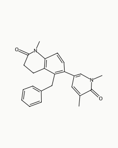 Cc1cc(-c2ccc3c(c2Cc2ccccc2)CCC(=O)N3C)cn(C)c1=O